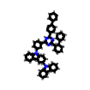 c1ccc(-c2ccc(-c3nc(-c4cccc(-n5c6ccccc6c6cc(-n7c8ccccc8c8ccccc87)ccc65)c4)nc(-c4ccccc4-c4ccccc4)n3)cc2)cc1